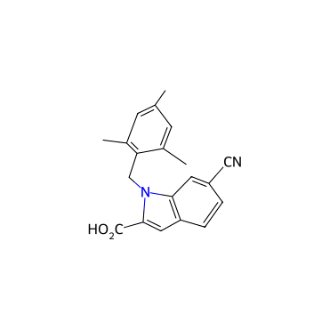 Cc1cc(C)c(Cn2c(C(=O)O)cc3ccc(C#N)cc32)c(C)c1